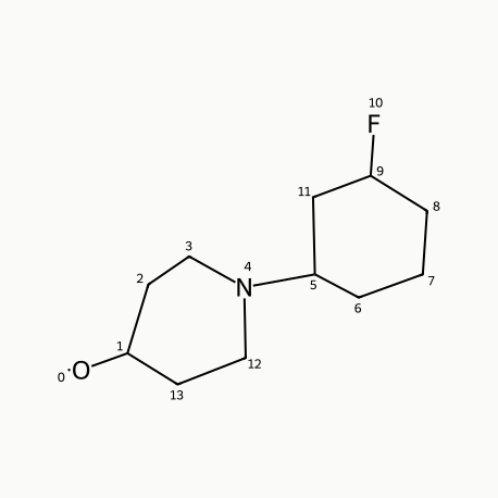 [O]C1CCN(C2CCCC(F)C2)CC1